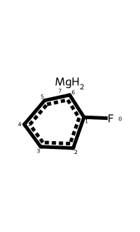 Fc1cc[c]cc1.[MgH2]